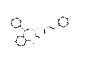 CN1C(=O)[C@H](NC(=O)C=Cc2ccc(Cl)cc2)N=C(c2ccccc2)c2ccccc21